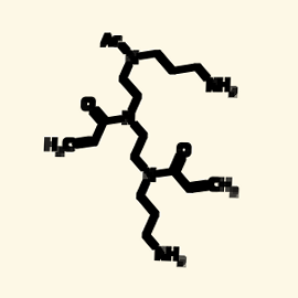 C=CC(=O)N(CCCN)CCN(CCN(CCCN)C(C)=O)C(=O)C=C